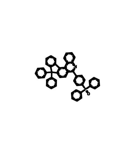 O=P(c1ccccc1)(c1ccccc1)c1ccc(-c2nc3ccccc3c3c4c(ccc23)C(c2ccccc2)(c2ccccc2)c2ccccc2-4)cc1